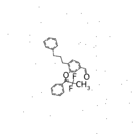 CC(F)(F)[C@H](Oc1cc(C=O)ccc1CCCc1ccccc1)c1ccccc1